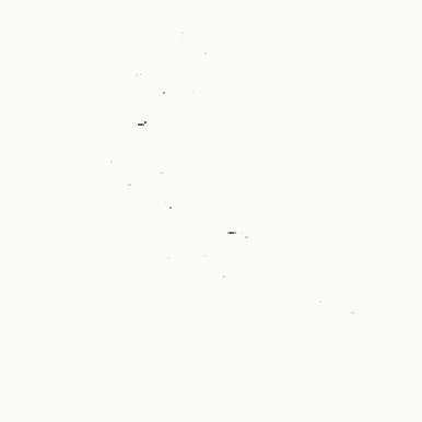 O=C1[C@@H](NS(=O)(=O)/C=C/c2ccc(Cl)s2)CCCN1CC(=O)N1CCC[C@H]1CN1CC=CCC1